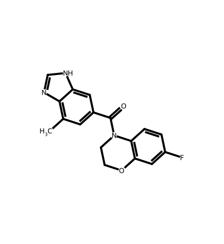 Cc1cc(C(=O)N2CCOc3cc(F)ccc32)cc2[nH]cnc12